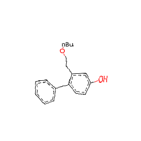 CCCCOCCc1cc(O)ccc1-c1ccccc1